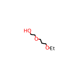 [CH2]COCCCOCCO